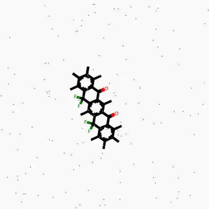 Cc1c(C)c(C)c2c(c1C)C(=O)c1c(C)c3c(c(C)c1C2(F)F)C(F)(F)c1c(C)c(C)c(C)c(C)c1C3=O